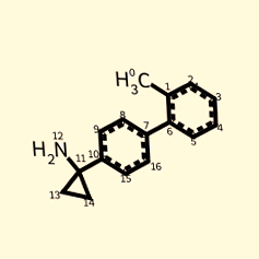 Cc1[c]cccc1-c1ccc(C2(N)CC2)cc1